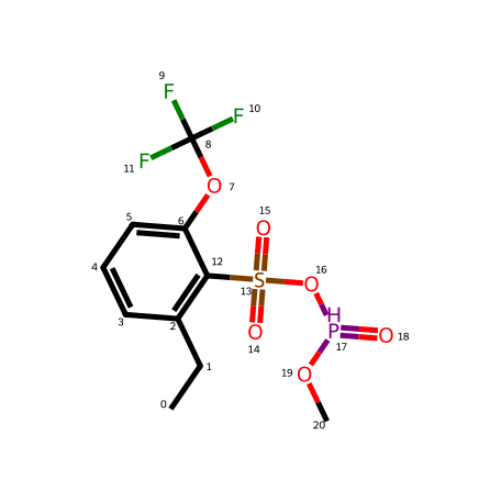 CCc1cccc(OC(F)(F)F)c1S(=O)(=O)O[PH](=O)OC